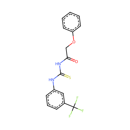 O=C(COc1ccccc1)NC(=S)Nc1cccc(C(F)(F)F)c1